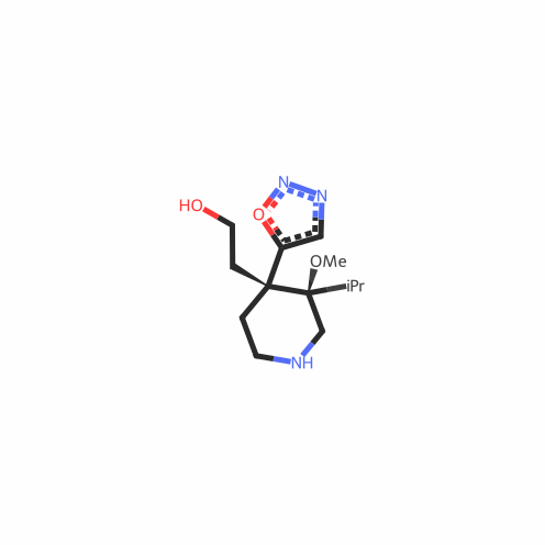 CO[C@@]1(C(C)C)CNCC[C@]1(CCO)c1cnno1